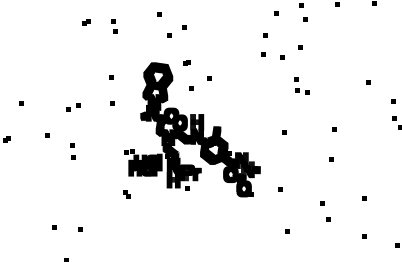 Cc1cc(-c2nn(C)c(=O)o2)ccc1NCC(=O)N(CCNC(C)C)CC(=O)N(C)N1Cc2ccccc2C1.Cl.Cl